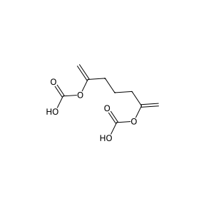 C=C(CCCC(=C)OC(=O)O)OC(=O)O